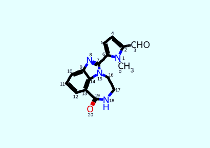 Cn1c(C=O)ccc1-c1nc2cccc3c2n1CCNC3=O